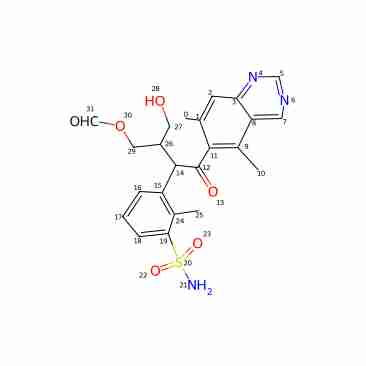 Cc1cc2ncncc2c(C)c1C(=O)C(c1cccc(S(N)(=O)=O)c1C)C(CO)COC=O